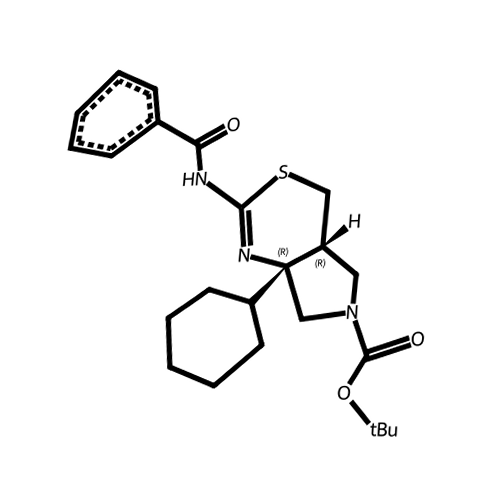 CC(C)(C)OC(=O)N1C[C@H]2CSC(NC(=O)c3ccccc3)=N[C@@]2(C2CCCCC2)C1